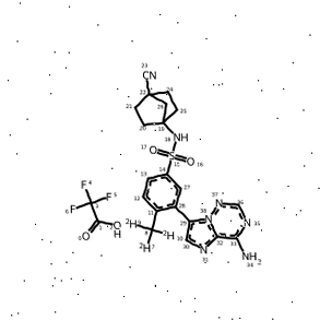 O=C(O)C(F)(F)F.[2H]C([2H])([2H])c1ccc(S(=O)(=O)NC23CCC(C#N)(CC2)C3)cc1-c1cnc2c(N)ncnn12